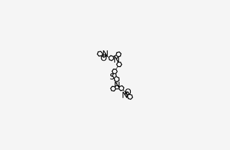 c1cc(-c2ccc3sc4cc(-n5c6ccccc6c6cc(-c7nc8ccccc8o7)ccc65)ccc4c3c2)cc(-n2c3ccccc3c3cc(-c4nc5ccccc5o4)ccc32)c1